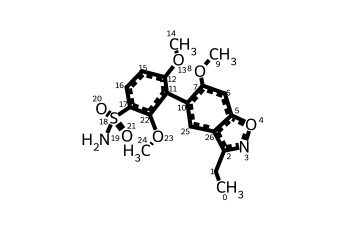 CCc1noc2cc(OC)c(-c3c(OC)ccc(S(N)(=O)=O)c3OC)cc12